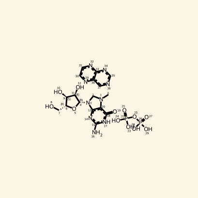 CN1CN([C@@H]2O[C@H](CO)[C@@H](O)[C@H]2O)c2nc(N)[nH]c(=O)c21.O=P(O)(O)OP(=O)(O)O.c1cnc2ncncc2n1